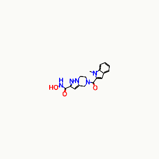 Cn1c(C(=O)N2CCn3nc(C(=O)NO)cc3C2)cc2ccccc21